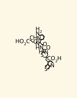 CC(CON=C(C(=O)NC1C(=O)N2CC(Cc3ccnc4cscc34)(C(=O)O)CS[C@H]12)c1cccc(N)n1)C(=O)O